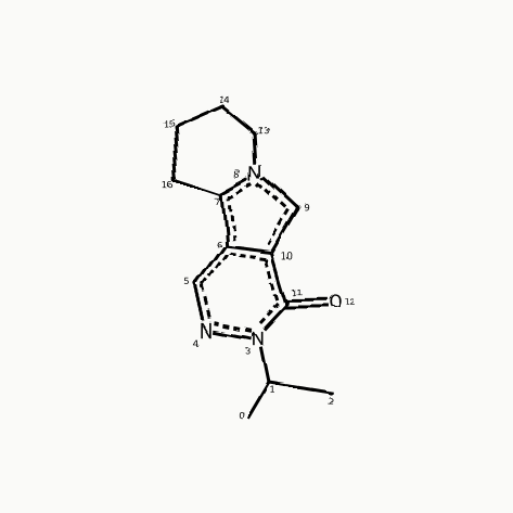 CC(C)n1ncc2c3n(cc2c1=O)CCCC3